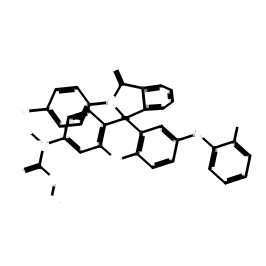 CCN(C(=O)OC(C)(C)C)c1ccc2c(c1)Oc1ccc(Nc3ccccc3Cl)cc1C21c2ccccc2C(=O)N1c1ccc(Br)cc1